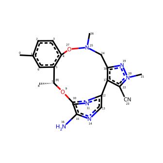 Cc1ccc2c(c1)[C@@H](C)Oc1nc(cnc1N)-c1c(nn(C)c1C#N)CN(C)O2